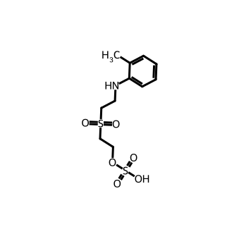 Cc1ccccc1NCCS(=O)(=O)CCOS(=O)(=O)O